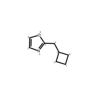 [c]1cnc(CC2CCC2)o1